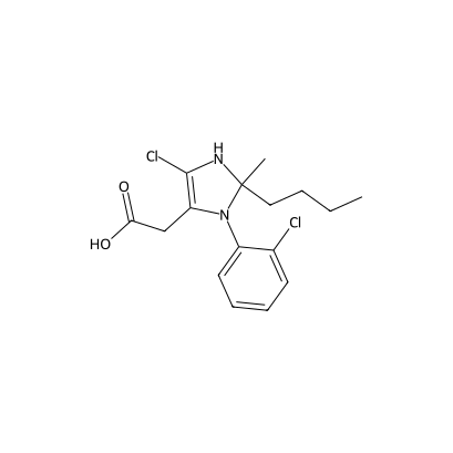 CCCCC1(C)NC(Cl)=C(CC(=O)O)N1c1ccccc1Cl